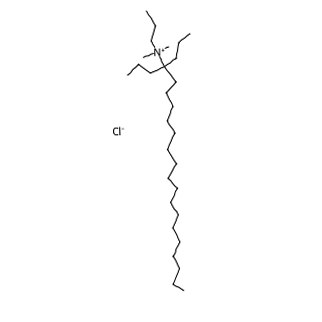 CCCCCCCCCCCCCCCCCC(CCC)(CCC)[N+](C)(C)CCC.[Cl-]